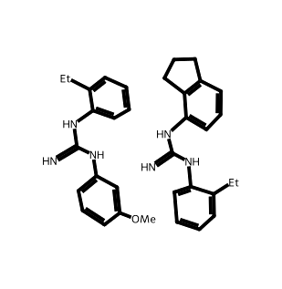 CCc1ccccc1NC(=N)Nc1cccc(OC)c1.CCc1ccccc1NC(=N)Nc1cccc2c1CCC2